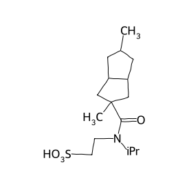 CC1CC2CC(C)(C(=O)N(CCS(=O)(=O)O)C(C)C)CC2C1